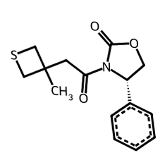 CC1(CC(=O)N2C(=O)OC[C@@H]2c2ccccc2)CSC1